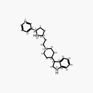 c1cncc([C@H]2CC[C@@H](CCN3CCC(C4CNc5ccccc54)CC3)N2)c1